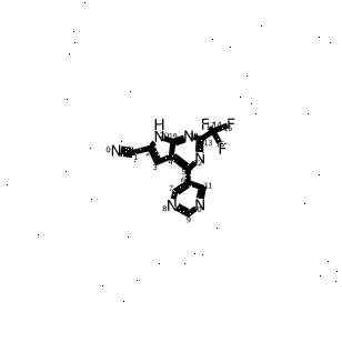 N#Cc1cc2c(-c3cncnc3)nc(C(F)(F)F)nc2[nH]1